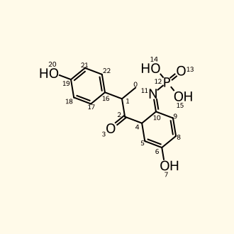 CC(C(=O)C1C=C(O)C=CC1=NP(=O)(O)O)c1ccc(O)cc1